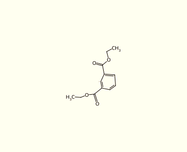 CCOC(=O)c1[c]c(C(=O)OCC)ccc1